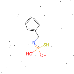 OP(O)(S)=NCc1ccccc1